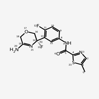 Cc1cnc(C(=O)Nc2ccc(F)c([C@]3(F)COCC(N)=N3)c2)s1